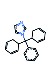 C1=CCC(C(c2ccccc2)(C2C=CC=CC2)n2ccnc2)C=C1